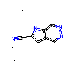 N#Cc1cc2cnncc2[nH]1